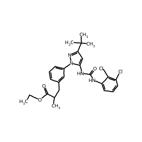 CCOC(=O)C(C)Cc1cccc(-n2nc(C(C)(C)C)cc2NC(=O)Nc2cccc(Cl)c2Cl)c1